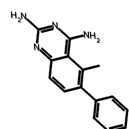 Cc1c(-c2ccccc2)ccc2nc(N)nc(N)c12